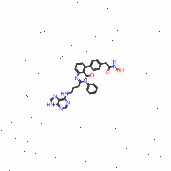 O=C(Cc1ccc(-c2cccc3nc(CCCNc4ncnc5[nH]cnc45)n(-c4ccccc4)c(=O)c23)cc1)NO